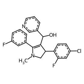 CN1CC(c2ccc(Cl)cc2F)C(C(O)c2cccnc2)=C1c1cccc(F)c1